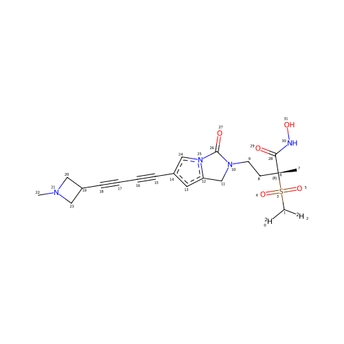 [2H]C([2H])S(=O)(=O)[C@](C)(CCN1Cc2cc(C#CC#CC3CN(C)C3)cn2C1=O)C(=O)NO